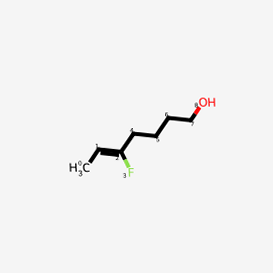 CC=C(F)CCCCO